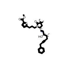 COC(=O)c1ccc(CCCN2C(=O)C(F)(F)C[C@@H]2/C=C/[C@@H](O)[C@H](C)CC#CCc2ccccc2)s1